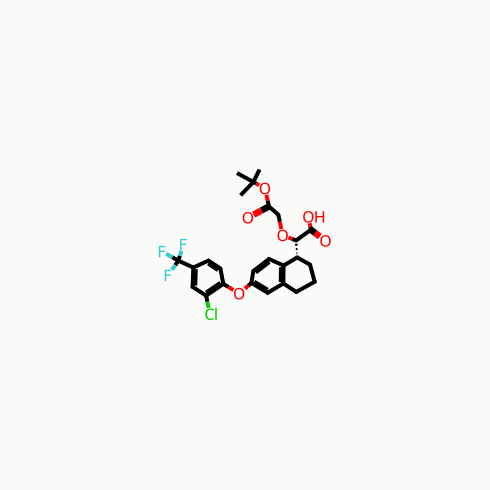 CC(C)(C)OC(=O)COC(C(=O)O)[C@@H]1CCCc2cc(Oc3ccc(C(F)(F)F)cc3Cl)ccc21